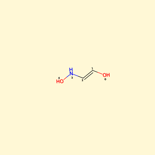 OC=CNO